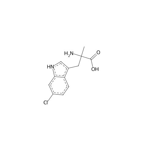 CC(N)(Cc1c[nH]c2cc(Cl)ccc12)C(=O)O